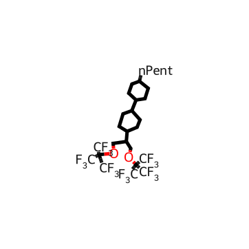 CCCCCC1CCC(C2CCC(C(COC(C(F)(F)F)(C(F)(F)F)C(F)(F)F)COC(C(F)(F)F)(C(F)(F)F)C(F)(F)F)CC2)CC1